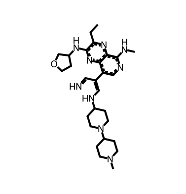 CCc1nc2c(NC)ncc(/C(C=N)=C/NC3CCN(C4CCN(C)CC4)CC3)c2nc1NC1CCOC1